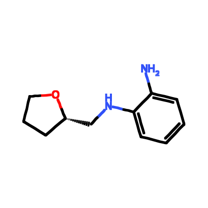 Nc1ccccc1NC[C@@H]1CCCO1